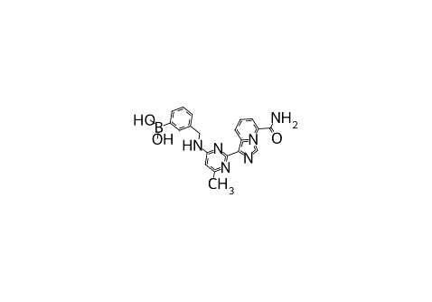 Cc1cc(NCc2cccc(B(O)O)c2)nc(-c2ncn3c(C(N)=O)cccc23)n1